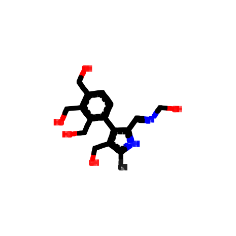 N#Cc1[nH]c(/C=N/CO)c(-c2ccc(CO)c(CO)c2CO)c1CO